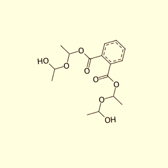 CC(O)OC(C)OC(=O)c1ccccc1C(=O)OC(C)OC(C)O